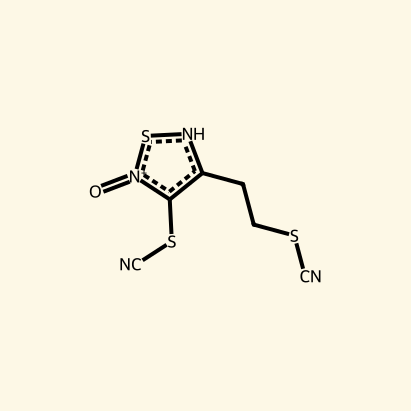 N#CSCCc1[nH]s[n+](=O)c1SC#N